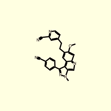 COc1cc2ncc3c(c(-c4ccc(C#N)cc4)nn3C)c2cc1CCc1ccnc(C#N)c1